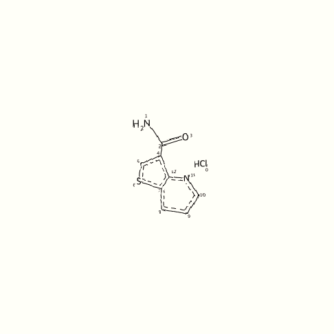 Cl.NC(=O)c1csc2cccnc12